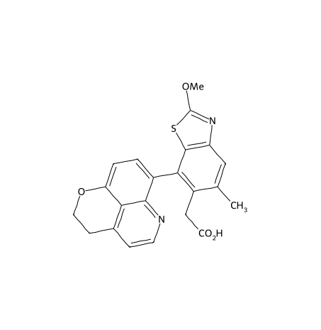 COc1nc2cc(C)c(CC(=O)O)c(-c3ccc4c5c(ccnc35)CCO4)c2s1